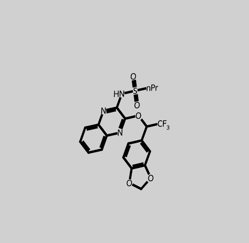 CCCS(=O)(=O)Nc1nc2ccccc2nc1OC(c1ccc2c(c1)OCO2)C(F)(F)F